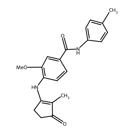 COc1cc(C(=O)Nc2ccc(C)cc2)ccc1NC1=C(C)C(=O)CC1